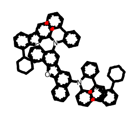 C1=CCCC(c2ccccc2N(c2cc3c4cc(N(c5ccccc5-c5ccccc5)c5cccc6c5oc5c(C7CCCCC7)cccc56)c5ccccc5c4oc3c3ccccc23)c2cccc3c2oc2c(C4CCCCC4)cccc23)=C1